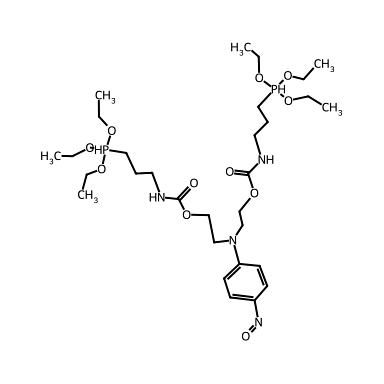 CCO[PH](CCCNC(=O)OCCN(CCOC(=O)NCCC[PH](OCC)(OCC)OCC)c1ccc(N=O)cc1)(OCC)OCC